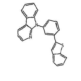 c1cc(-c2cc3ccccc3s2)cc(-n2c3ccccc3c3cccnc32)c1